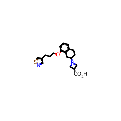 O=C(O)C1CN(C2CCc3cccc(OCCCc4cnsc4)c3C2)C1